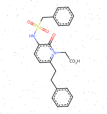 O=C(O)Cn1c(CCc2ccccc2)ccc(NS(=O)(=O)Cc2ccccc2)c1=O